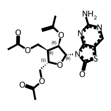 C=C(C)O[C@@H]1[C@H](COC(C)=O)[C@@H](COC(C)=O)O[C@H]1n1c(=O)sc2cnc(N)nc21